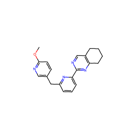 COc1ccc(Cc2cccc(-c3ncc4c(n3)CCCC4)n2)cn1